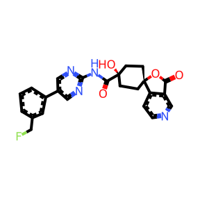 O=C1O[C@]2(CC[C@@](O)(C(=O)Nc3ncc(-c4cccc(CF)c4)cn3)CC2)c2ccncc21